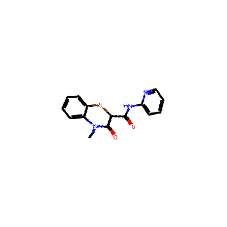 CN1C(=O)C(C(=O)Nc2ccccn2)Sc2ccccc21